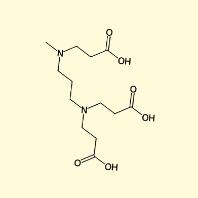 CN(CCCN(CCC(=O)O)CCC(=O)O)CCC(=O)O